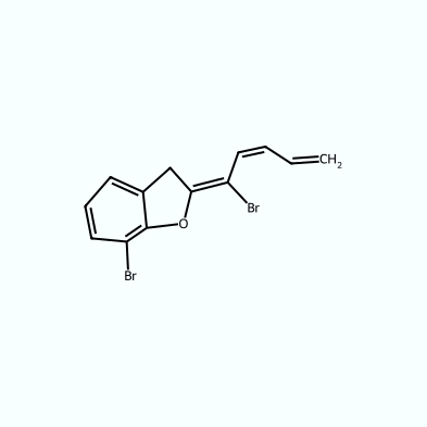 C=C/C=C\C(Br)=C1/Cc2cccc(Br)c2O1